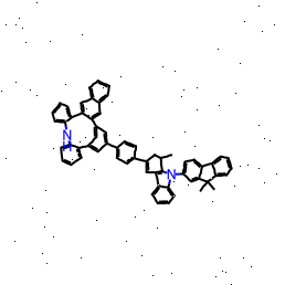 CC1CC(c2ccc(-c3cc4cc(c3)-c3cc5ccccc5cc3-c3ccccc3Nc3ccccc3-4)cc2)=Cc2c1n(-c1ccc3c(c1)C(C)(C)c1ccccc1-3)c1ccccc21